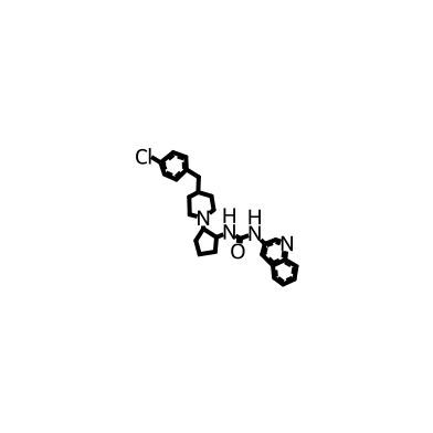 O=C(Nc1cnc2ccccc2c1)NC1CCCC1N1CCC(Cc2ccc(Cl)cc2)CC1